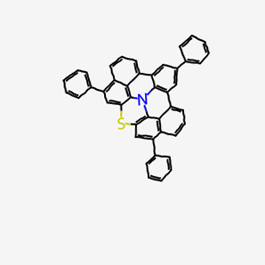 c1ccc(-c2cc3c4cccc5c(-c6ccccc6)cc6sc7cc(-c8ccccc8)c8cccc9c(c2)c3n(c6c54)c7c89)cc1